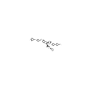 Cc1nc(NC(=O)C2CCCC2)sc1S(=O)(=O)N1Cc2cc3c(cc2CC1C(=O)N[C@@H](Cc1ccc(-c2ccc(C#N)cc2)cc1)C(=O)O)OC[C@H](c1ccc(OCc2ccc(Cl)c(Cl)c2)cc1)O3